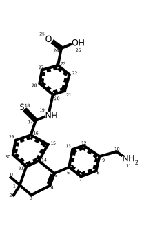 CC1(C)CC=C(c2ccc(CN)cc2)c2cc(C(=S)Nc3ccc(C(=O)O)cc3)ccc21